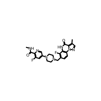 CNC(=O)c1ncc(N2CCN(Cc3ccc4c([nH]c(=O)c5c(C)cnn54)c3F)CC2)cc1F